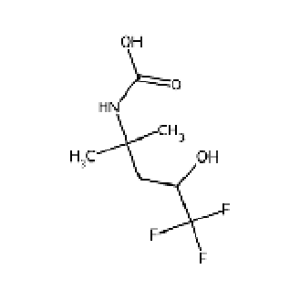 CC(C)(CC(O)C(F)(F)F)NC(=O)O